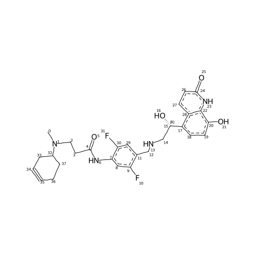 CN(CCC(=O)Nc1cc(F)c(CNC[C@H](O)c2ccc(O)c3[nH]c(=O)ccc23)cc1F)C1CC#CCC1